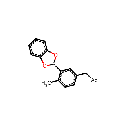 CC(=O)Cc1ccc(C)c(B2Oc3ccccc3O2)c1